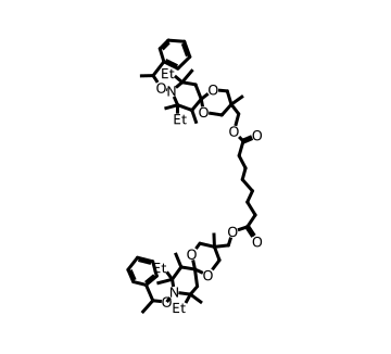 CCC1(C)CC2(OCC(C)(COC(=O)CCCCCCC(=O)OCC3(C)COC4(CC(C)(CC)N(OC(C)c5ccccc5)C(C)(CC)C4C)OC3)CO2)C(C)C(C)(CC)N1OC(C)c1ccccc1